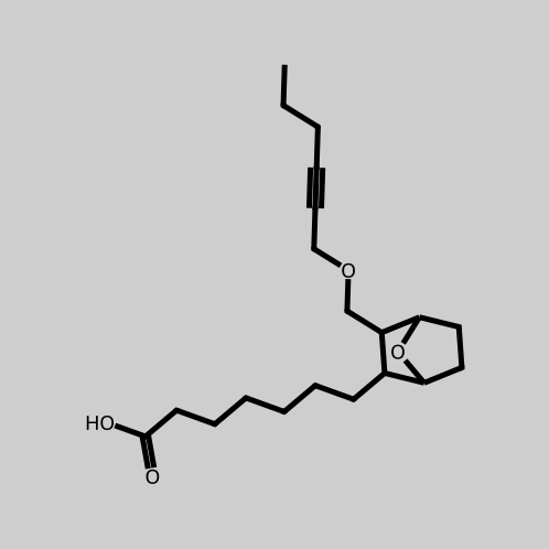 CCCC#CCOCC1C2CCC(O2)C1CCCCCCC(=O)O